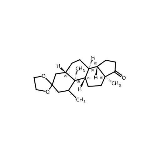 CC1CC2(C[C@@H]3CC[C@@H]4[C@H](CC[C@]5(C)C(=O)CC[C@@H]45)[C@@]13C)OCCO2